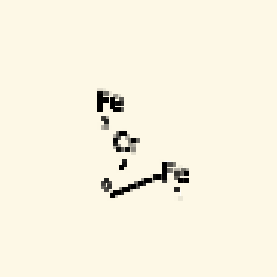 [CH3][Fe].[Cr].[Fe]